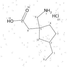 CCC1CCC(CN)(CC(=O)O)C1.Cl